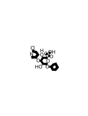 O=S(=O)(O)C1O[C@@H](Oc2ccccc2)[C@H](O)[C@@H](Oc2ccc(Cl)nc2)[C@@H]1O